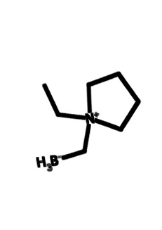 [BH3-]C[N+]1(CC)CCCC1